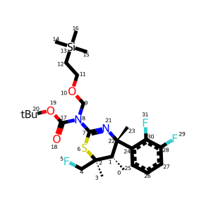 C[C@@H]1[C@@](C)(CF)SC(N(COCC[Si](C)(C)C)C(=O)OC(C)(C)C)=N[C@]1(C)c1cccc(F)c1F